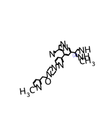 CN/C=C(\C=N)c1cc(-c2ccc(N3CCN(C(=O)Cc4ccc(C)nc4)CC3)nc2)c2c(C#N)cnn2c1